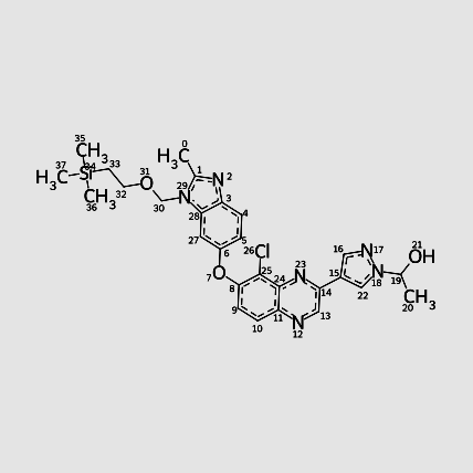 Cc1nc2ccc(Oc3ccc4ncc(-c5cnn(C(C)O)c5)nc4c3Cl)cc2n1COCC[Si](C)(C)C